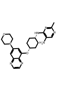 Cc1ncc(N)c(N[C@H]2CC[C@@H](Oc3cc(N4CCOCC4)cc4nccnc34)CC2)n1